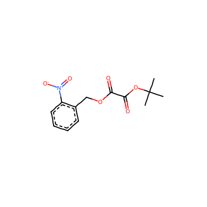 CC(C)(C)OC(=O)C(=O)OCc1ccccc1[N+](=O)[O-]